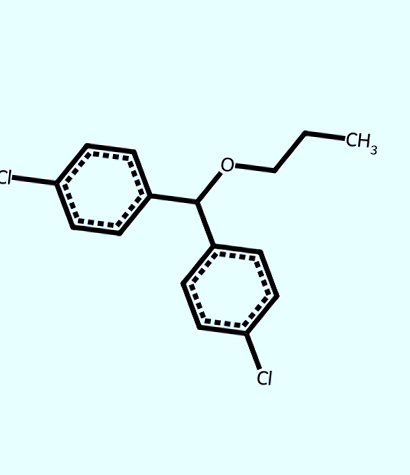 CCCOC(c1ccc(Cl)cc1)c1ccc(Cl)cc1